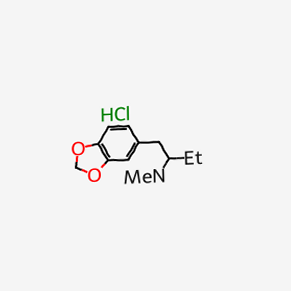 CCC(Cc1ccc2c(c1)OCO2)NC.Cl